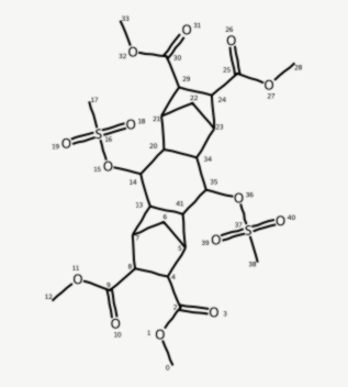 COC(=O)C1C2CC(C1C(=O)OC)C1C(OS(C)(=O)=O)C3C4CC(C(C(=O)OC)C4C(=O)OC)C3C(OS(C)(=O)=O)C21